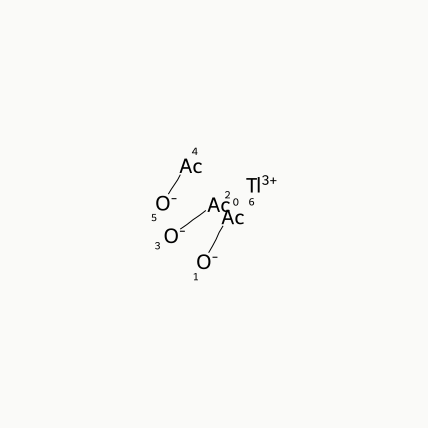 CC(=O)[O-].CC(=O)[O-].CC(=O)[O-].[Tl+3]